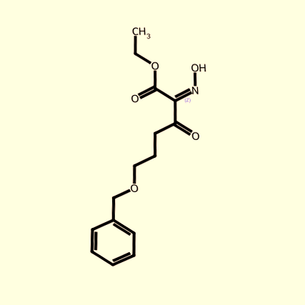 CCOC(=O)/C(=N\O)C(=O)CCCOCc1ccccc1